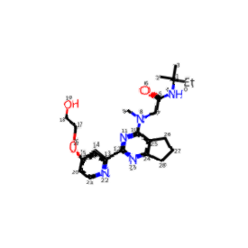 CCC(C)(C)NC(=O)CN(C)c1nc(-c2cc(OCCO)ccn2)nc2c1CCC2